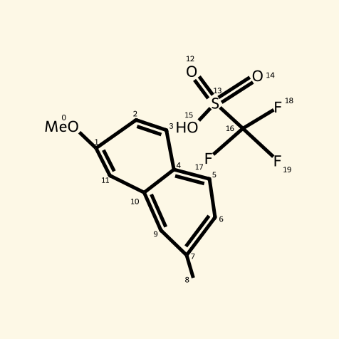 COc1ccc2ccc(C)cc2c1.O=S(=O)(O)C(F)(F)F